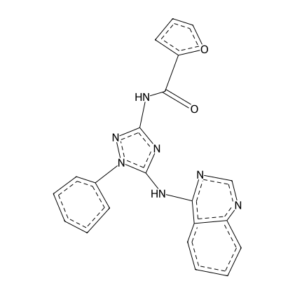 O=C(Nc1nc(Nc2ncnc3ccccc23)n(-c2ccccc2)n1)c1ccco1